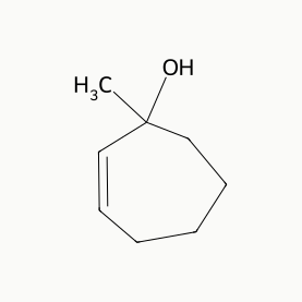 CC1(O)C=CCCCC1